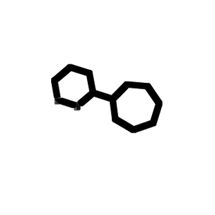 C1CCCC(C2CCCSS2)CC1